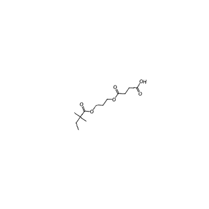 CCC(C)(C)C(=O)OCCCOC(=O)CCC(=O)O